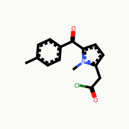 Cc1ccc(C(=O)c2ccc(CC(=O)Cl)n2C)cc1